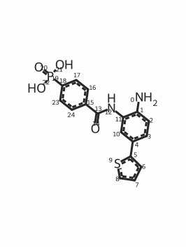 Nc1ccc(-c2cccs2)cc1NC(=O)c1ccc(P(=O)(O)O)cc1